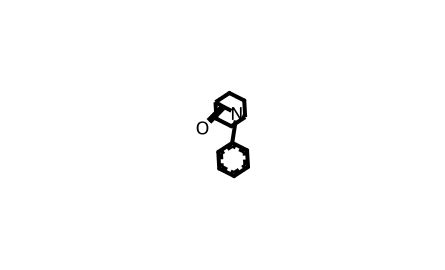 O=C1C2CCC(CC2)N1c1ccccc1